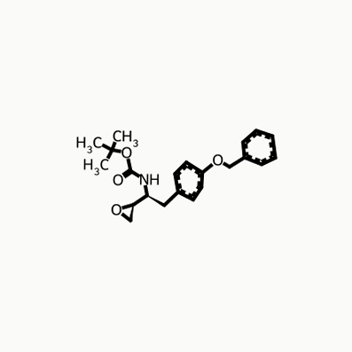 CC(C)(C)OC(=O)N[C@@H](Cc1ccc(OCc2ccccc2)cc1)[C@H]1CO1